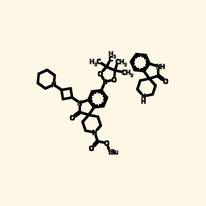 CC(C)(C)OC(=O)N1CCC2(CC1)C(=O)N(C1CC(N3CCCCC3)C1)c1cc(B3OC(C)(C)C(C)(C)O3)ccc12.O=C1Nc2ccccc2C12CCNCC2